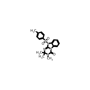 Cc1ccc(S(=O)(=O)N2C3=NC(C)(C)N(C)C(=O)N3c3ccccc32)cc1